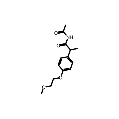 COCCOc1ccc(C(C)C(=O)NC(C)=O)cc1